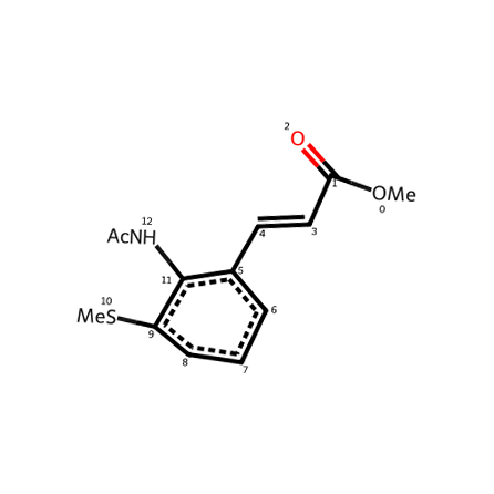 COC(=O)C=Cc1cccc(SC)c1NC(C)=O